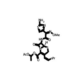 CCC/C=C\C1=C(C(=O)OC(C)OC(C)=O)N2C(=O)C(NC(=O)/C(=N\OC)c3csc(N)n3)[C@H]2SC1